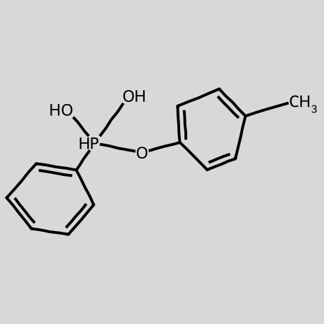 Cc1ccc(O[PH](O)(O)c2ccccc2)cc1